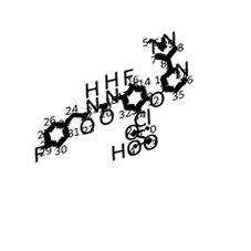 CS(=O)(=O)O.Cn1cc(-c2cc(Oc3cc(F)c(NC(=O)NC(=O)Cc4ccc(F)cc4)cc3Cl)ccn2)cn1